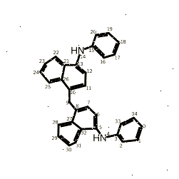 c1ccc(Nc2ccc(Cc3ccc(Nc4ccccc4)c4ccccc34)c3ccccc23)cc1